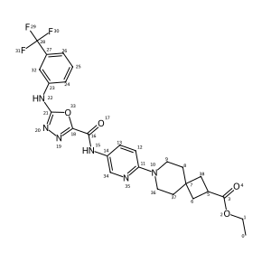 CCOC(=O)C1CC2(CCN(c3ccc(NC(=O)c4nnc(Nc5cccc(C(F)(F)F)c5)o4)cn3)CC2)C1